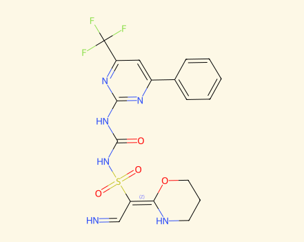 N=C/C(=C1\NCCCO1)S(=O)(=O)NC(=O)Nc1nc(-c2ccccc2)cc(C(F)(F)F)n1